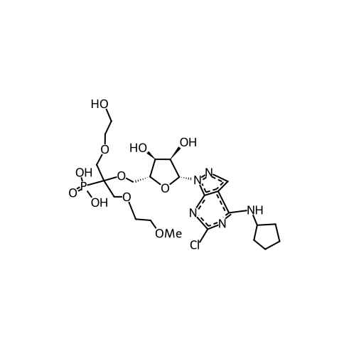 COCCOCC(COCCO)(OC[C@H]1O[C@@H](n2ncc3c(NC4CCCC4)nc(Cl)nc32)[C@H](O)[C@@H]1O)P(=O)(O)O